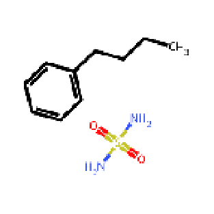 CCCCc1ccccc1.NS(N)(=O)=O